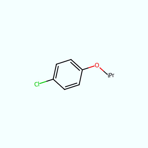 [CH2]C(C)Oc1ccc(Cl)cc1